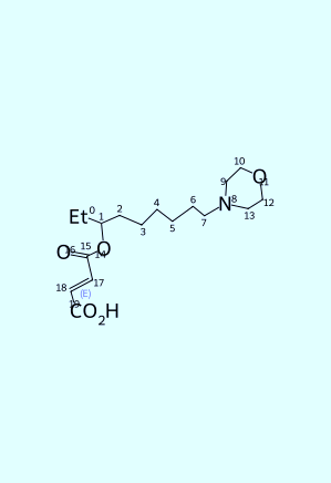 CCC(CCCCCCN1CCOCC1)OC(=O)/C=C/C(=O)O